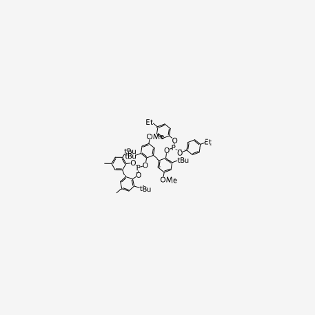 CCc1ccc(OP(Oc2ccc(CC)cc2)Oc2c(-c3cc(OC)cc(C(C)(C)C)c3Op3oc4c(C(C)(C)C)cc(C)cc4c4cc(C)cc(C(C)(C)C)c4o3)cc(OC)cc2C(C)(C)C)cc1